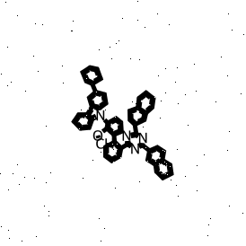 COc1c(-c2ccccc2-c2nc(-c3ccc4ccccc4c3)nc(-c3ccc4ccccc4c3)n2)cccc1-n1c2ccccc2c2cc(-c3ccccc3)ccc21